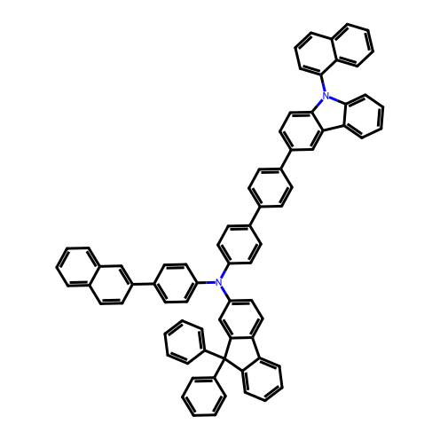 c1ccc(C2(c3ccccc3)c3ccccc3-c3ccc(N(c4ccc(-c5ccc(-c6ccc7c(c6)c6ccccc6n7-c6cccc7ccccc67)cc5)cc4)c4ccc(-c5ccc6ccccc6c5)cc4)cc32)cc1